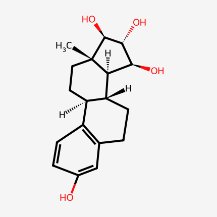 C[C@]12CC[C@@H]3c4ccc(O)cc4CC[C@H]3[C@@H]1[C@H](O)[C@@H](O)[C@@H]2O